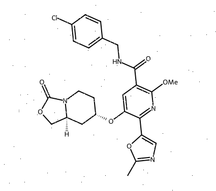 COc1nc(-c2cnc(C)o2)c(O[C@H]2CCN3C(=O)OC[C@@H]3C2)cc1C(=O)NCc1ccc(Cl)cc1